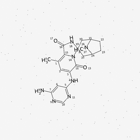 Cc1cc(Nc2cc(N)ncn2)c(=O)n2c1C(=O)NC21CC2CCC(C1)N2C